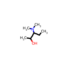 CCC(C(C)O)N(C)C